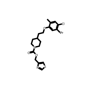 Cc1cc(Cl)c(C(C)C)cc1OCCC1CCN(C(=O)OCc2cscn2)CC1